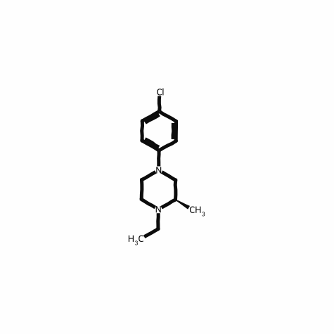 CCN1CCN(c2ccc(Cl)cc2)C[C@H]1C